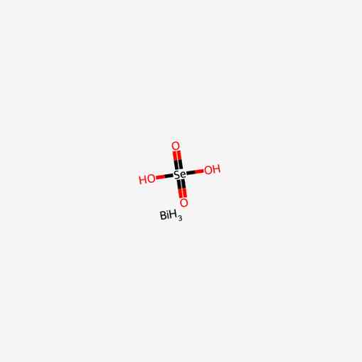 O=[Se](=O)(O)O.[BiH3]